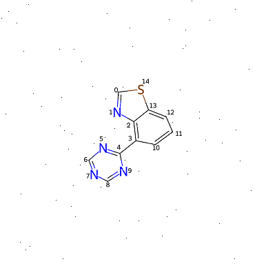 [c]1nc2c(-c3ncncn3)cccc2s1